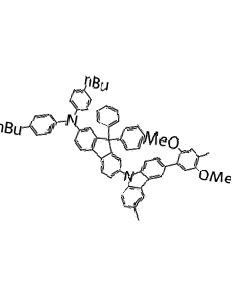 CCCCc1ccc(N(c2ccc(CCCC)cc2)c2ccc3c(c2)C(c2ccccc2)(c2ccccc2)c2cc(-n4c5ccc(C)cc5c5cc(-c6cc(OC)c(C)cc6OC)ccc54)ccc2-3)cc1